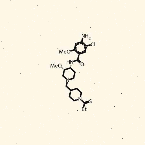 CCC(=S)N1CCC(CN2CC[C@@H](NC(=O)c3cc(Cl)c(N)cc3OC)[C@@H](OC)C2)CC1